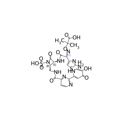 CC(C)(O/N=C(\C(=O)N[C@@H]1C(=O)N(S(=O)(=O)O)[C@@H]1CNC(=O)c1ccnc(-c2cc(=O)c(O)c[nH]2)n1)c1csc(N)n1)C(=O)O